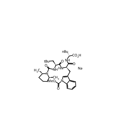 CCCC[C@@H](NC(=O)[C@@H](Cc1cn(C(=O)OC)c2ccccc12)NC(=O)[C@H](CC(C)(C)C)NC(=O)N1[C@H](C)CCC[C@@H]1C)C(=O)O.[Na]